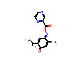 CC1=CC(=O)C(C(C)C)=C/C1=N\OC(=O)c1cnccn1